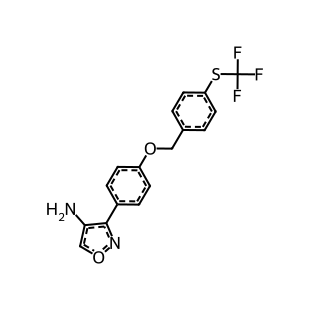 Nc1conc1-c1ccc(OCc2ccc(SC(F)(F)F)cc2)cc1